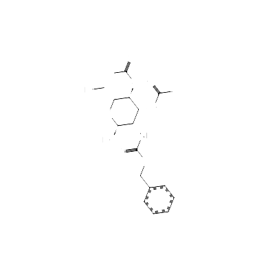 CC(=O)O[C@@H]1[C@H](NC(=O)OCc2ccccc2)[C@@H](O)O[C@H](CO)[C@H]1OC(C)=O